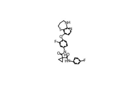 O=C(Nc1ccc(F)cc1)C1(C(=O)Nc2ccc(Oc3ccnc4c3SCCCN4)c(F)c2)CC1